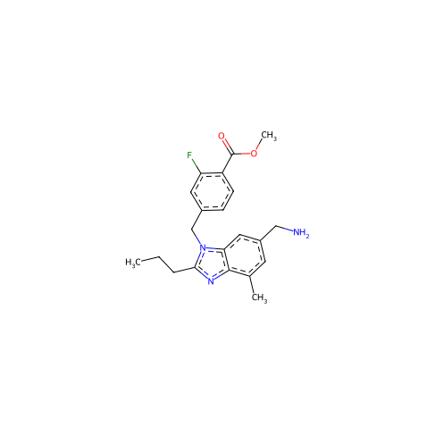 CCCc1nc2c(C)cc(CN)cc2n1Cc1ccc(C(=O)OC)c(F)c1